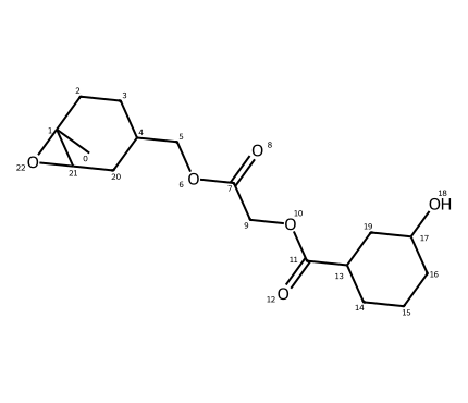 CC12CCC(COC(=O)COC(=O)C3CCCC(O)C3)CC1O2